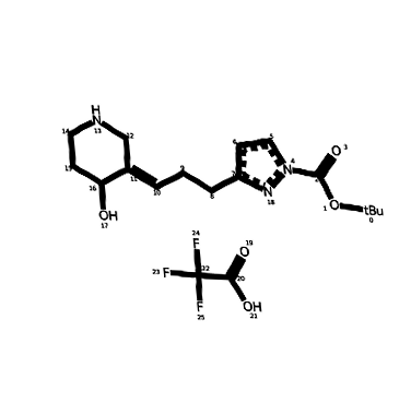 CC(C)(C)OC(=O)n1ccc(CC/C=C2\CNCCC2O)n1.O=C(O)C(F)(F)F